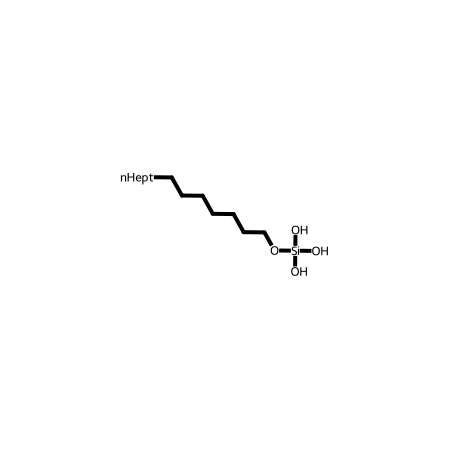 CCCCCCCCCCCCCCO[Si](O)(O)O